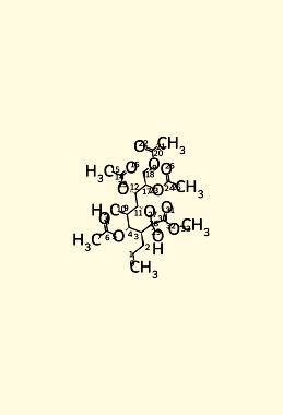 CCC[C@H]1[C@H](OC(C)=O)[C@@H](C)[C@H]([C@H](OC(C)=O)[C@@H](COC(C)=O)OC(C)=O)OC1(O)C(=O)OC